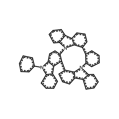 c1ccc(-n2c3ccccc3c3c4c5cccc6c7ccccc7n(c7ccccc7c7cccc8c9ccccc9n(c4ccc32)c78)c65)cc1